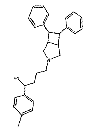 OC(CCCN1CC2C(C1)C(c1ccccc1)C2c1ccccc1)c1ccc(F)cc1